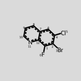 Fc1c(Br)c(Cl)cc2cccnc12